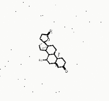 CCC1CC2=CC(=O)CC[C@@H]2C2CC[C@@]3(C)C(CC[C@@]34CCC(=O)O4)C12